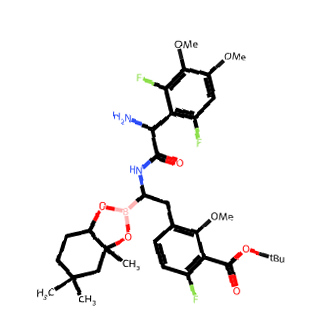 COc1cc(F)c(C(N)C(=O)NC(Cc2ccc(F)c(C(=O)OC(C)(C)C)c2OC)B2OC3CCC(C)(C)CC3(C)O2)c(F)c1OC